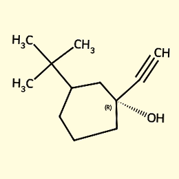 C#C[C@@]1(O)CCCC(C(C)(C)C)C1